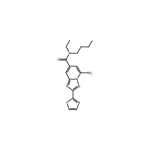 CCCCN(CC)C(=O)c1cc(N)n2nc(-c3nccs3)nc2c1